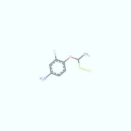 CC(Oc1ccc(N)cc1F)SS